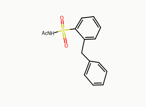 CC(=O)NS(=O)(=O)c1ccccc1Cc1ccccc1